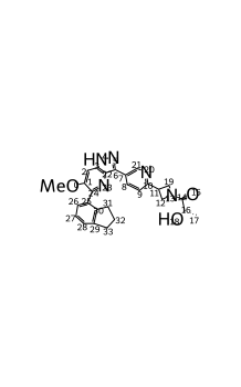 COc1cc2[nH]nc(-c3ccc(C4CN(C(=O)[C@H](C)O)C4)nc3)c2nc1-c1cccc2c1CCC2